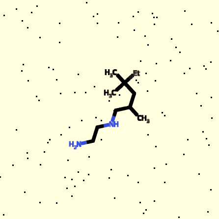 CCC(C)(C)CC(C)CNCCN